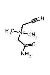 C#CC[N+](C)(C)CC(N)=O